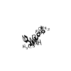 Cc1sc(NC(=O)Cc2ccc(Oc3ncccc3C(N)=O)c(F)c2)nc1-c1ccncc1